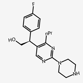 CCCc1nc(N2CCNCC2)ncc1[C@@H](CO)c1ccc(F)cc1